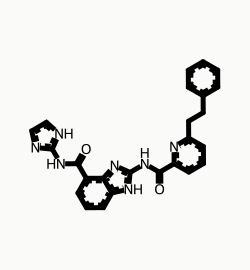 O=C(Nc1nc2c(C(=O)Nc3ncc[nH]3)cccc2[nH]1)c1cccc(CCc2ccccc2)n1